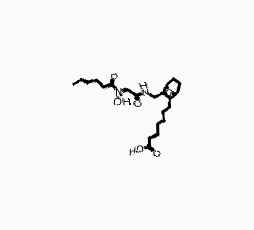 CCCCCC(=O)N(O)CC(=O)NCC1C2CCC(O2)C1CCCCCCC(=O)O